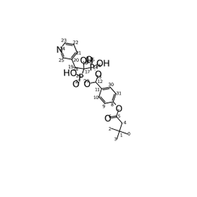 CC(C)(C)CC(=O)Oc1ccc(C2OP(=O)(O)C(O)(Cc3cccnc3)P(=O)(O)O2)cc1